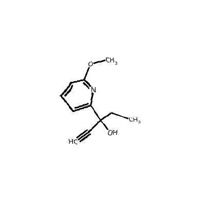 C#CC(O)(CC)c1cccc(OC)n1